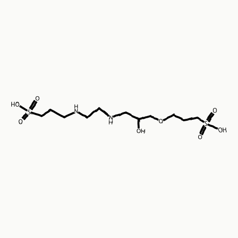 O=S(=O)(O)CCCNCCNCC(O)COCCCS(=O)(=O)O